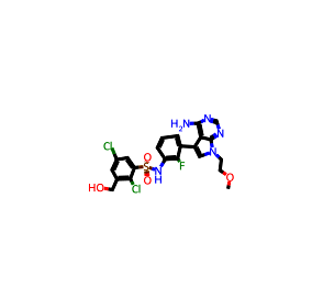 COCCn1cc(-c2cccc(NS(=O)(=O)c3cc(Cl)cc(CO)c3Cl)c2F)c2c(N)ncnc21